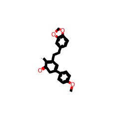 [CH2]C1=C(CCc2ccc3c(c2)OCO3)C=C(c2ccc(OC)cc2)CC1=O